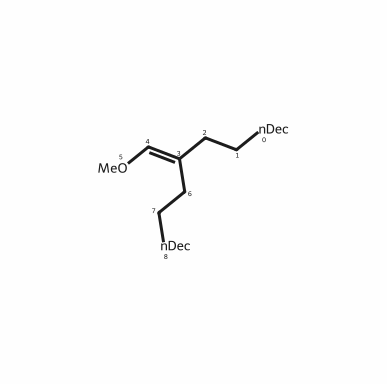 CCCCCCCCCCCCC(=COC)CCCCCCCCCCCC